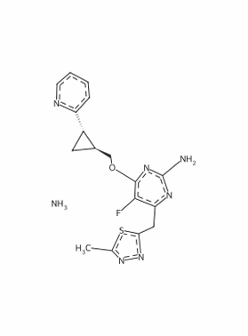 Cc1nnc(Cc2nc(N)nc(OC[C@H]3C[C@@H]3c3ccccn3)c2F)s1.N